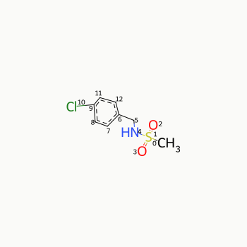 CS(=O)(=O)NCc1ccc(Cl)cc1